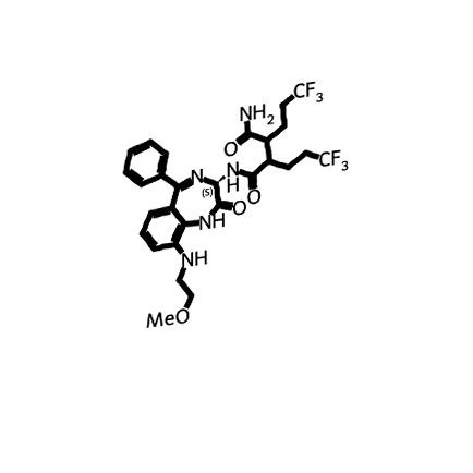 COCCNc1cccc2c1NC(=O)[C@@H](NC(=O)C(CCC(F)(F)F)C(CCC(F)(F)F)C(N)=O)N=C2c1ccccc1